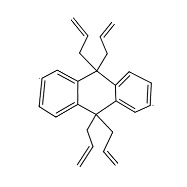 C=CCC1(CC=C)c2c[c]ccc2C(CC=C)(CC=C)c2c[c]ccc21